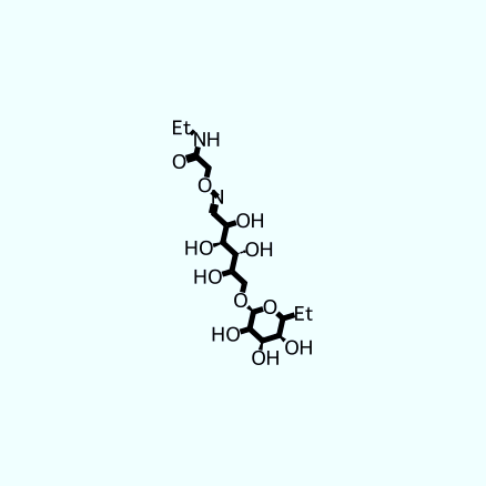 CCNC(=O)CO/N=C/C(O)[C@H](O)[C@H](O)C(O)CO[C@H]1OC(CC)[C@@H](O)[C@@H](O)C1O